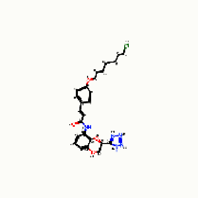 O=C(/C=C/c1ccc(OCCCCCCCCl)cc1)Nc1cccc2c1OC(c1nnn[nH]1)CO2